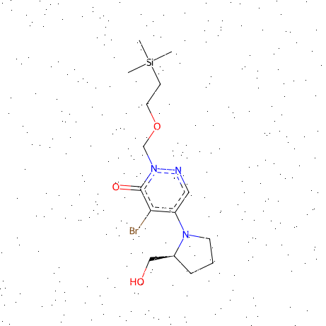 C[Si](C)(C)CCOCn1ncc(N2CCC[C@H]2CO)c(Br)c1=O